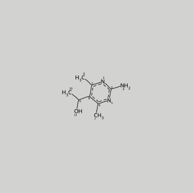 Cc1nc(N)nc(C)c1C(C)O